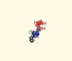 O=P(O)(O)CP(=O)(O)OC[C@H]1C[C@@H](n2nnc3c(N[C@H]4CCc5ccccc54)nc(Cl)nc32)C[C@@H]1O